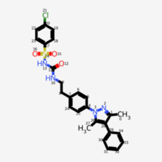 Cc1nn(-c2ccc(CCNC(=O)NS(=O)(=O)c3ccc(Cl)cc3)cc2)c(C)c1-c1ccccc1